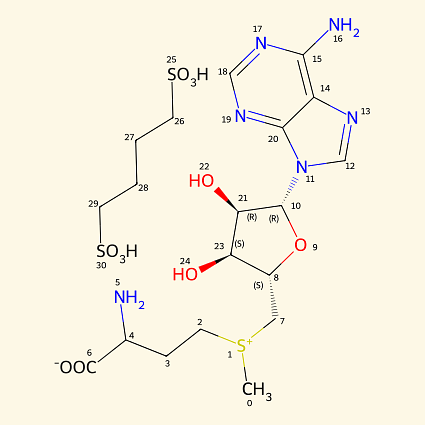 C[S+](CCC(N)C(=O)[O-])C[C@H]1O[C@@H](n2cnc3c(N)ncnc32)[C@H](O)[C@@H]1O.O=S(=O)(O)CCCCS(=O)(=O)O